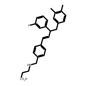 Cc1ccc(CC(/C=C/c2ccc(CNCCC(=O)O)cc2)c2cccc(F)c2)cc1C